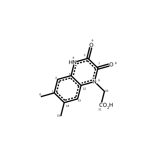 Cc1cc2[nH]c(=O)c(=O)n(CC(=O)O)c2cc1C